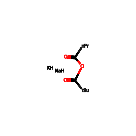 CCCC(=O)OC(=O)C(C)(C)C.[KH].[NaH]